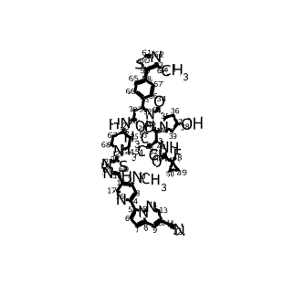 CNc1cc(-c2ccc3cc(C#N)cnn23)ncc1-c1nnc(N2CCC(NC(=O)C[C@H](NC(=O)[C@@H]3C[C@@H](O)CN3C(=O)[C@@H](NC(=O)C3(F)CC3)C(C)(C)C)c3ccc(-c4scnc4C)cc3)CC2)s1